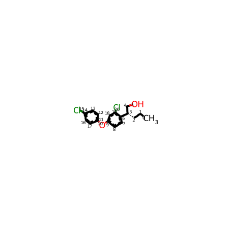 CCC[C@@H](CO)c1ccc(Oc2ccc(Cl)cc2)cc1Cl